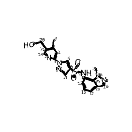 Cc1cc(-n2cc(S(=O)(=O)Nc3cccc4cnn(C)c34)cn2)ncc1CO